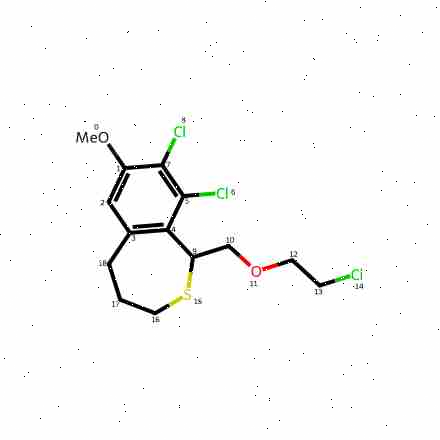 COc1cc2c(c(Cl)c1Cl)C(COCCCl)SCCC2